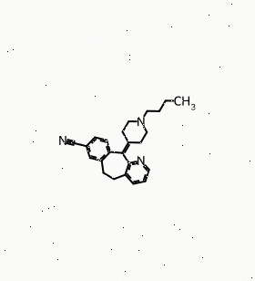 CCCCN1CCC(=C2c3ccc(C#N)cc3CCc3cccnc32)CC1